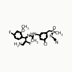 C=C(/N=C(\C(F)=C/N)c1ccc(F)cc1OC)Nc1cc(Cl)cc(CS(C)(=O)=NC#N)c1